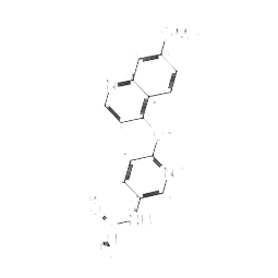 COc1ccc2c(Oc3ccc(N[SH](=O)=O)cn3)ccnc2c1